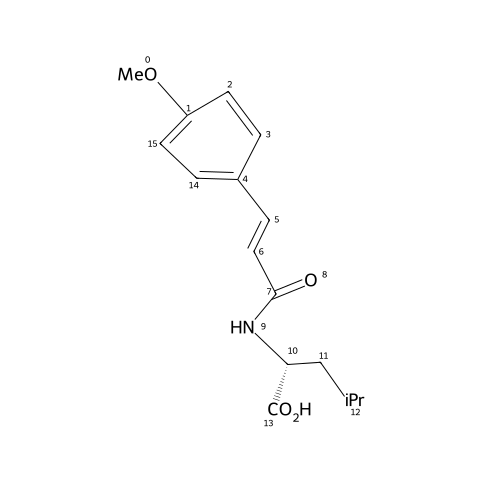 COc1ccc(/C=C/C(=O)N[C@H](CC(C)C)C(=O)O)cc1